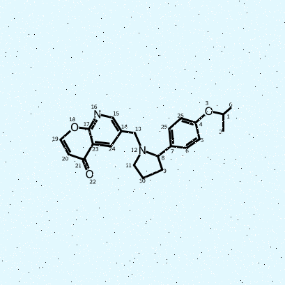 CC(C)Oc1ccc(C2CCCN2Cc2cnc3occc(=O)c3c2)cc1